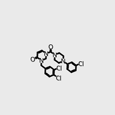 O=C1C=CN(C(=O)N2CCN(c3cccc(Cl)c3)CC2)CN1Cc1ccc(Cl)c(Cl)c1